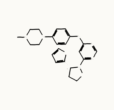 CN1CCN(c2ccc(Nc3cc(N4OCC[C@@H]4c4ccco4)ncn3)cc2)CC1